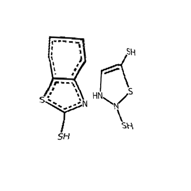 SC1=CNN(S)S1.Sc1nc2ccccc2s1